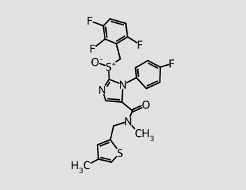 Cc1csc(CN(C)C(=O)c2cnc([S+]([O-])Cc3c(F)ccc(F)c3F)n2-c2ccc(F)cc2)c1